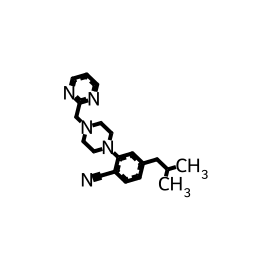 CC(C)Cc1ccc(C#N)c(N2CCN(Cc3ncccn3)CC2)c1